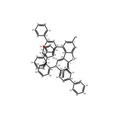 C=C/C=c1/oc2cc(C)cc(-c3cc(-c4ccccc4)nc(-c4ccccc4)n3)c2/c1=C/N(c1ccc(-c2ccccc2)cc1)c1ccccc1-c1ccccc1